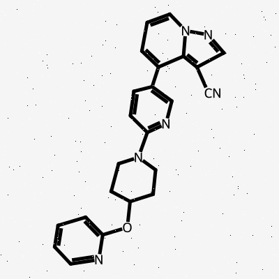 N#Cc1cnn2cccc(-c3ccc(N4CCC(Oc5ccccn5)CC4)nc3)c12